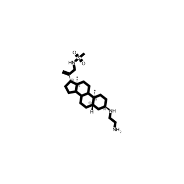 C=C(CNS(C)(=O)=O)[C@H]1CCC2C3CC[C@H]4C[C@H](NCCN)CC[C@]4(C)C3CC[C@@]21C